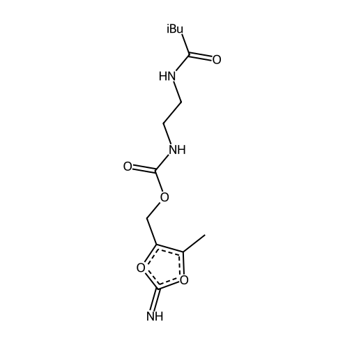 CCC(C)C(=O)NCCNC(=O)OCc1oc(=N)oc1C